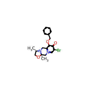 C[C@H]1CO[C@]2(C)Cn3cc(Br)c(=O)c(OCc4ccccc4)c3CN12